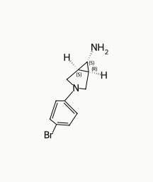 N[C@@H]1[C@H]2CN(c3ccc(Br)cc3)C[C@@H]12